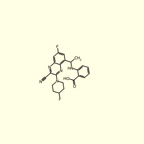 CC(Nc1ccccc1C(=O)O)c1cc(F)cc2nc(C#N)c(N3CCC(F)CC3)nc12